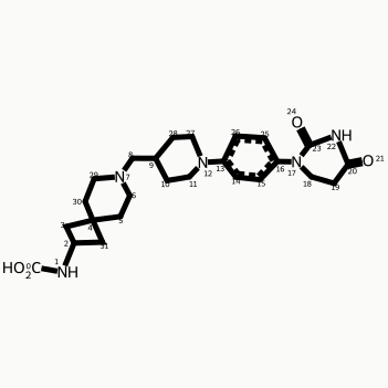 O=C(O)NC1CC2(CCN(CC3CCN(c4ccc(N5CCC(=O)NC5=O)cc4)CC3)CC2)C1